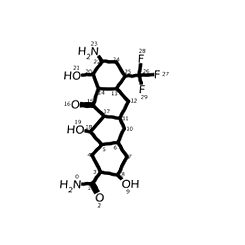 NC(=O)C1CC2C(CC1O)CC1CC3C(C(=O)C1C2O)C(O)C(N)CC3C(F)(F)F